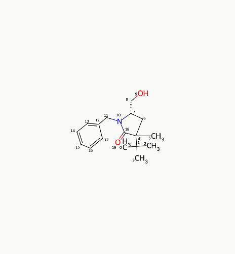 CC(C)(C)C1(C)C[C@@H](CO)N(Cc2ccccc2)C1=O